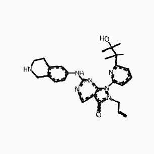 C=CCn1c(=O)c2cnc(Nc3ccc4c(c3)CCNC4)nc2n1-c1cccc(C(C)(C)C(C)(C)O)n1